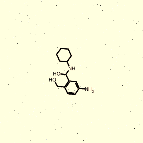 Nc1ccc(CO)c(C(O)NC2CCCCC2)c1